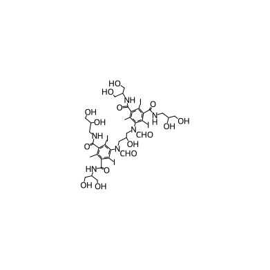 Cc1c(C(=O)NCC(O)CO)c(I)c(N(C=O)CC(O)CN(C=O)c2c(C)c(C(=O)NC(CO)CO)c(I)c(C(=O)NCC(O)CO)c2I)c(I)c1C(=O)NC(CO)CO